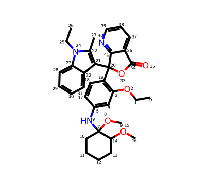 CCOc1cc(NC2(OC)CCCCC2OC)ccc1C1(c2c(C)n(CC)c3ccccc23)OC(=O)c2cccnc21